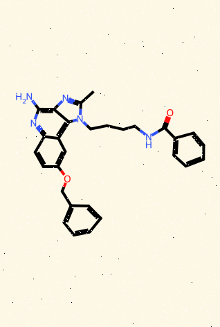 Cc1nc2c(N)nc3ccc(OCc4ccccc4)cc3c2n1CCCCNC(=O)c1ccccc1